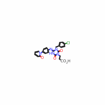 O=C(O)CCn1c(=O)[nH]/c(=N\c2ccc(-n3ccccc3=O)cc2)n(Cc2ccc(Cl)cc2)c1=O